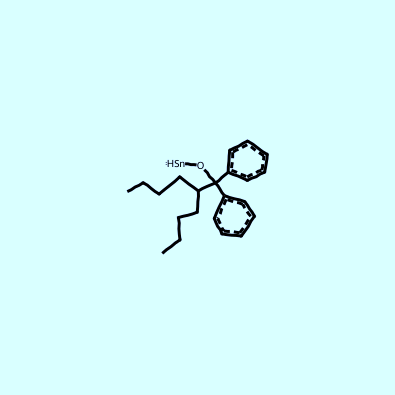 CCCCC(CCCC)C([O][SnH])(c1ccccc1)c1ccccc1